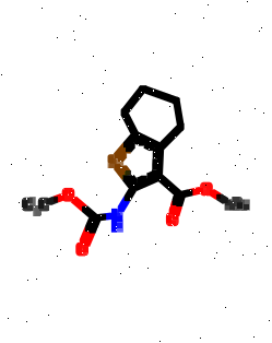 CCCCOC(=O)c1c(NC(=O)OC(Cl)(Cl)Cl)sc2c1CCCC2